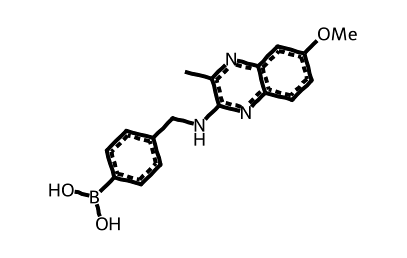 COc1ccc2nc(NCc3ccc(B(O)O)cc3)c(C)nc2c1